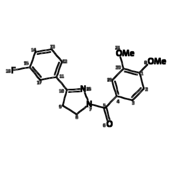 COc1ccc(C(=O)N2CCC(c3cccc(F)c3)=N2)cc1OC